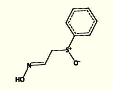 [O-][S+](CC=NO)c1ccccc1